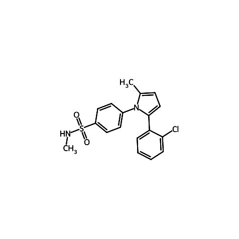 CNS(=O)(=O)c1ccc(-n2c(C)ccc2-c2ccccc2Cl)cc1